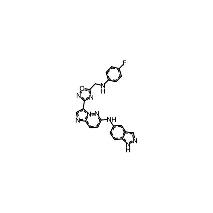 Fc1ccc(NCc2nc(-c3cnc4ccc(Nc5ccc6[nH]ncc6c5)nn34)no2)cc1